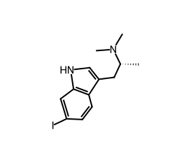 C[C@H](Cc1c[nH]c2cc(I)ccc12)N(C)C